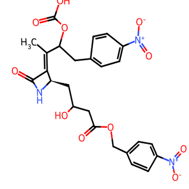 C/C(=C1\C(=O)N[C@@H]1CC(O)CC(=O)OCc1ccc([N+](=O)[O-])cc1)C(Cc1ccc([N+](=O)[O-])cc1)OC(=O)O